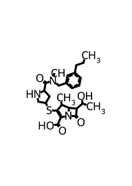 CCCc1cccc(CN(C)C(=O)C2CC(SC3=C(C(=O)O)N4C(=O)C(C(C)O)C4C3C)CN2)c1